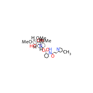 CCN1C[C@]2(OC(=O)c3ccccc3NC(=O)/C=C/c3cc(C)ccn3)CC[C@H](OC)[C@]34C1[C@@H](C[C@H]23)[C@@]1(O)C[C@H](OC)[C@H]2C[C@@H]4[C@]1(O)C2OC